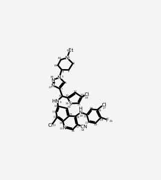 CCN1CCC(n2cc(C(Nc3cc(Cl)c4ncc(C#N)c(Nc5ccc(F)c(Cl)c5)c4c3)c3cc(Cl)cs3)nn2)CC1